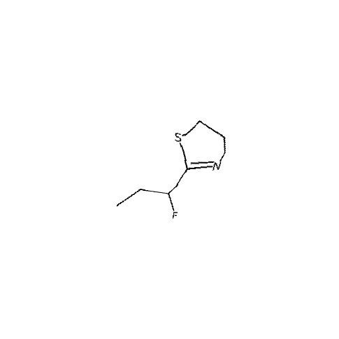 CCC(F)C1=NCCS1